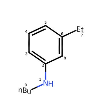 CCCCNc1cccc(CC)c1